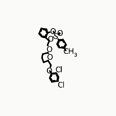 Cc1ccc(S(=O)(=O)Oc2ccccc2CCOC2CCCC(COc3ccc(Cl)cc3Cl)O2)cc1